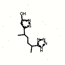 CC(CCC(C)c1cc(O)ns1)c1nnn[nH]1